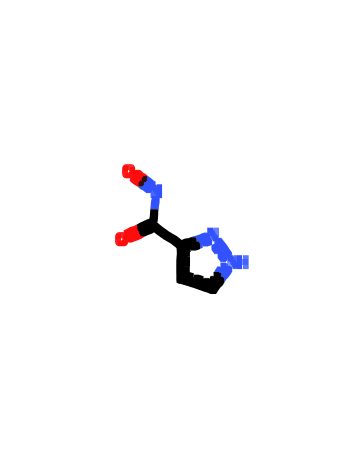 O=NC(=O)c1cc[nH]n1